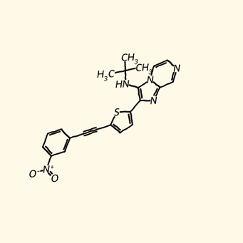 CC(C)(C)Nc1c(-c2ccc(C#Cc3cccc([N+](=O)[O-])c3)s2)nc2cnccn12